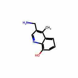 Cc1c(CN)cnc2c(O)cccc12